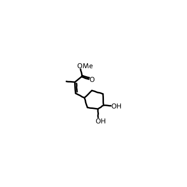 COC(=O)C(C)=CC1CCC(O)C(O)C1